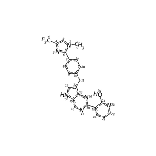 Cn1cc(C(F)(F)F)nc1-c1ccc(Cc2c[nH]c3cnc(-c4cccnc4O)nc23)cc1